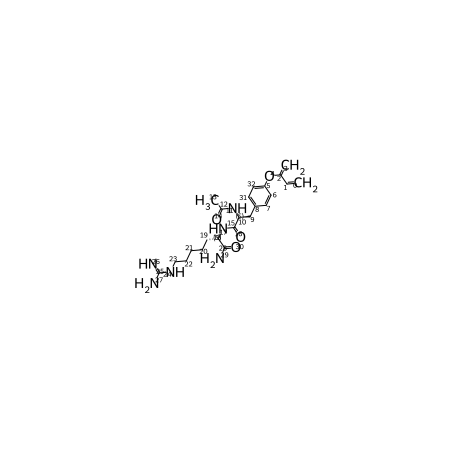 C=CC(=C)Oc1ccc(C[C@H](NC(C)=O)C(=O)N[C@@H](CCCCCNC(=N)N)C(N)=O)cc1